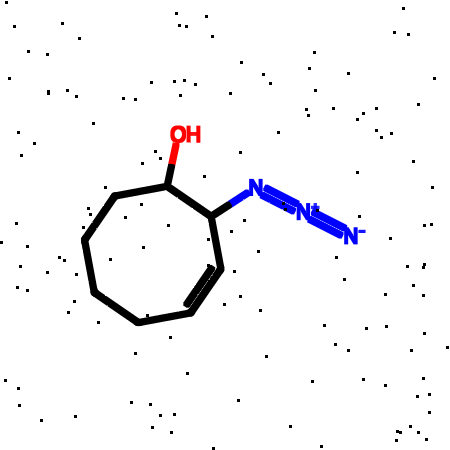 [N-]=[N+]=NC1C=CCCCCC1O